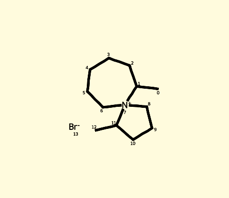 CC1CCCCC[N+]12CCCC2C.[Br-]